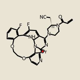 C=CC(=O)N1CCN(C2=NC(=O)N3c4c(ccnc4C(C)C)OCCOc4cccc(F)c4C4=C(F)C=C2C3N4)C[C@@H]1CC#N